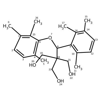 Cc1ccc(C)c(OC(c2c(C)ccc(C)c2C)C(CO)(CO)CO)c1C